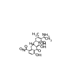 C=C(N)C1=C(C)CC2C[C@@H]3Cc4c(C(=O)N=O)ccc(O)c4C(=O)C3=C(O)[C@]2(O)C1=O